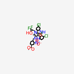 COC(=O)c1ccc(CN[C@@H]2[C@H](CO)N(CC3CC3(F)F)[C@@]3(C(=O)Nc4cc(Cl)ccc43)[C@H]2c2cccc(Cl)c2F)c([N+](=O)[O-])c1